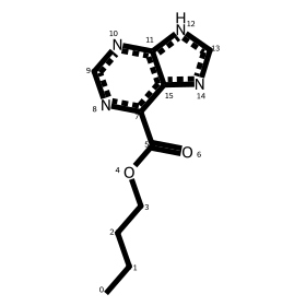 CCCCOC(=O)c1ncnc2[nH]cnc12